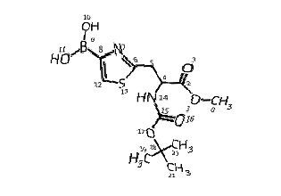 COC(=O)C(Cc1nc(B(O)O)cs1)NC(=O)OC(C)(C)C